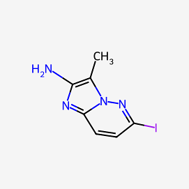 Cc1c(N)nc2ccc(I)nn12